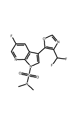 CN(C)S(=O)(=O)n1cc(-c2ocnc2C(F)F)c2cc(F)cnc21